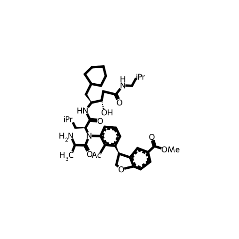 COC(=O)c1ccc2c(c1)[C@H](c1cccc(N(C(=O)C(C)N)[C@@H](CC(C)C)C(=O)N[C@@H](CC3CCCCC3)[C@@H](O)CC(=O)NCC(C)C)c1C(C)=O)CO2